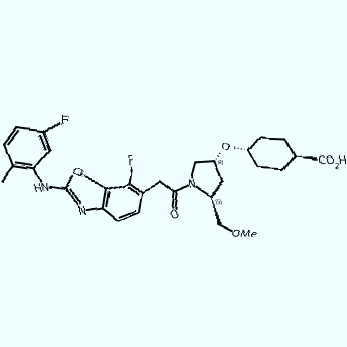 COC[C@@H]1C[C@@H](O[C@H]2CC[C@H](C(=O)O)CC2)CN1C(=O)Cc1ccc2nc(Nc3cc(F)ccc3C)oc2c1F